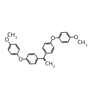 C=C(c1ccc(Oc2ccc(OC)cc2)cc1)c1ccc(Oc2ccc(OC)cc2)cc1